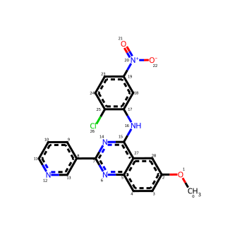 COc1ccc2nc(-c3cccnc3)nc(Nc3cc([N+](=O)[O-])ccc3Cl)c2c1